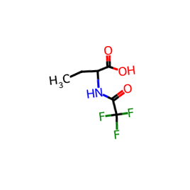 CCC(NC(=O)C(F)(F)F)C(=O)O